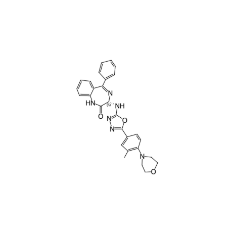 Cc1cc(-c2nnc(N[C@H]3N=C(c4ccccc4)c4ccccc4NC3=O)o2)ccc1N1CCOCC1